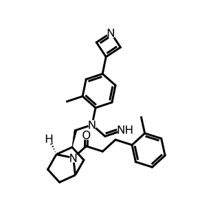 Cc1ccccc1CCC(=O)N1C2CC[C@H]1[C@@H](CN(C=N)c1ccc(C3=CN=C3)cc1C)C2